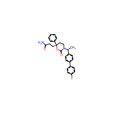 C[C@@H](c1ccc(-c2ccc(F)cc2)cc1)N1CC[C@@](CCC(N)=O)(c2ccccc2)OC1=O